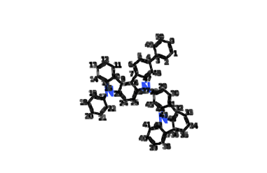 c1ccc(-c2ccc3c4c5c6ccccc6n(-c6ccccc6)c5ccc4n(-c4ccc5c6cccc7c8ccccc8n(c5c4)c76)c3c2)cc1